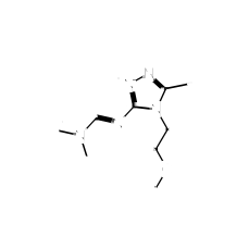 COCCn1c(C)nnc1/N=C/N(C)C